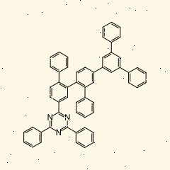 c1ccc(-c2cc(-c3ccccc3)cc(-c3ccc(-c4cc(-c5nc(-c6ccccc6)nc(-c6ccccc6)n5)ccc4-c4ccccc4)c(-c4ccccc4)c3)c2)cc1